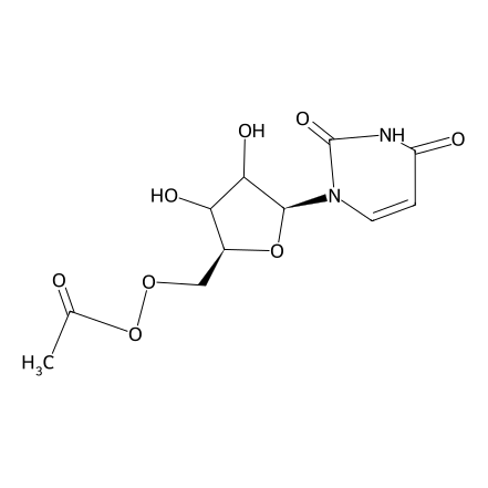 CC(=O)OOC[C@@H]1O[C@H](n2ccc(=O)[nH]c2=O)C(O)C1O